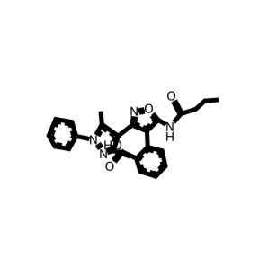 CCCC(=O)Nc1onc(-c2c(C)nn(-c3ccccc3)c2C)c1-c1ccccc1C(=O)O